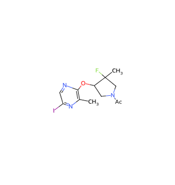 CC(=O)N1CC(Oc2ncc(I)nc2C)C(C)(F)C1